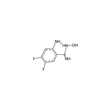 N=C(NO)c1cc(F)c(F)cc1N